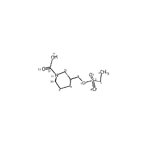 CCS(=O)(=O)OCC1CCCN(C(=O)O)C1